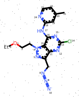 CCOCCn1nc(CN=[N+]=[N-])c2nc(Cl)nc(Nc3cc(C)ccn3)c21